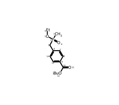 CCOP(C)(=O)Cc1ccc(C(=O)OCC(C)C)cc1